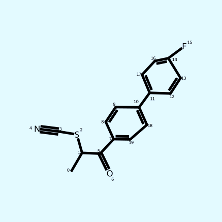 CC(SC#N)C(=O)c1ccc(-c2ccc(F)cc2)cc1